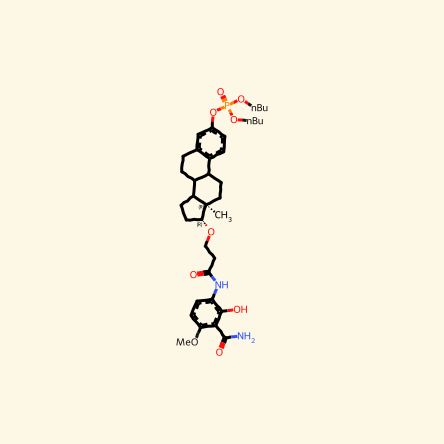 CCCCOP(=O)(OCCCC)Oc1ccc2c(c1)CCC1C2CC[C@]2(C)C1CC[C@H]2OCCC(=O)Nc1ccc(OC)c(C(N)=O)c1O